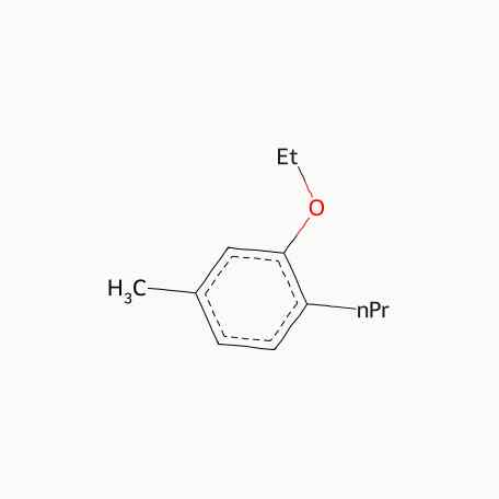 CCCc1ccc(C)cc1OCC